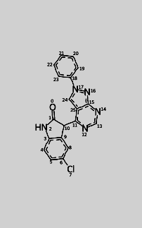 O=C1Nc2ccc(Cl)cc2C1c1ncnc2nn(-c3ccccc3)cc12